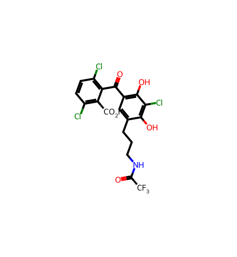 O=C(O)c1c(Cl)ccc(Cl)c1C(=O)c1cc(CCCNC(=O)C(F)(F)F)c(O)c(Cl)c1O